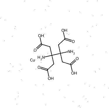 NC(CC(=O)O)(CC(=O)O)C(N)(CC(=O)O)CC(=O)O.[Cu]